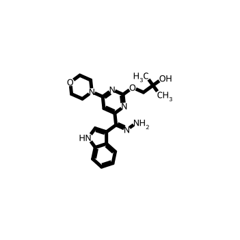 CC(C)(O)COc1nc(C(=NN)c2c[nH]c3ccccc23)cc(N2CCOCC2)n1